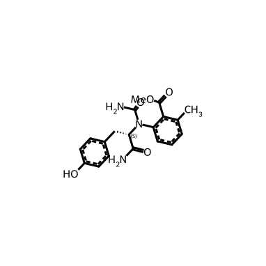 COC(=O)c1c(C)cccc1N(C(N)=O)[C@@H](Cc1ccc(O)cc1)C(N)=O